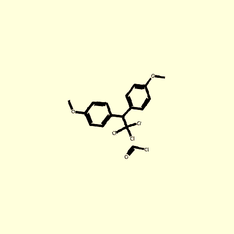 COc1ccc(C(c2ccc(OC)cc2)C(Cl)(Cl)Cl)cc1.O=CCl